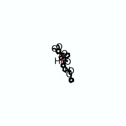 COc1ccc(C(=O)N2CCCC2C2(C(=O)Nc3ccc4c(c3)CN(C(=O)OCc3ccccc3)CC4)C=CC=CC2)cc1OC